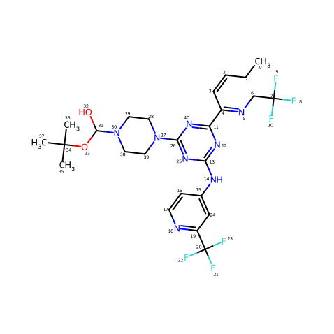 CC/C=C\C(=N/CC(F)(F)F)c1nc(Nc2ccnc(C(F)(F)F)c2)nc(N2CCN(C(O)OC(C)(C)C)CC2)n1